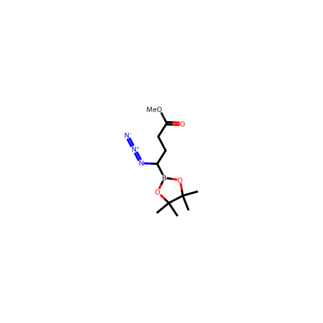 COC(=O)CCC(N=[N+]=[N-])B1OC(C)(C)C(C)(C)O1